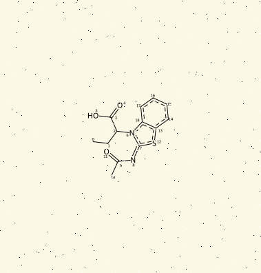 CCC(C(=O)O)n1/c(=N\C(C)=O)sc2ccccc21